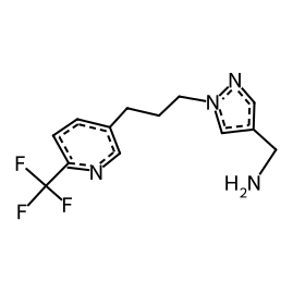 NCc1cnn(CCCc2ccc(C(F)(F)F)nc2)c1